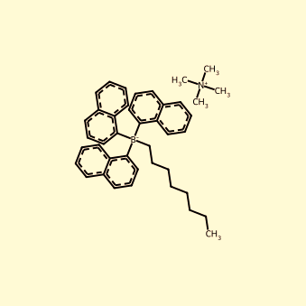 CCCCCCCC[B-](c1cccc2ccccc12)(c1cccc2ccccc12)c1cccc2ccccc12.C[N+](C)(C)C